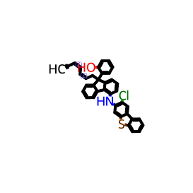 C#C/C=C\C=C/CC1(c2ccccc2O)c2ccccc2-c2c(Nc3cc4sc5ccccc5c4cc3Cl)cccc21